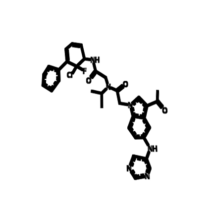 CC(=O)c1cn(CC(=O)N(CC(=O)NC2C=CC=C(c3ccccc3)C2(F)Cl)C(C)C)c2ccc(Nc3cncnc3)cc12